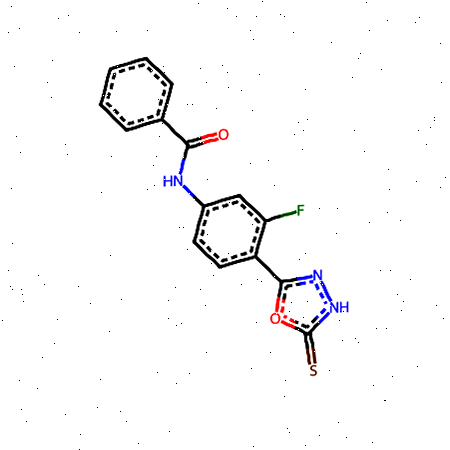 O=C(Nc1ccc(-c2n[nH]c(=S)o2)c(F)c1)c1ccccc1